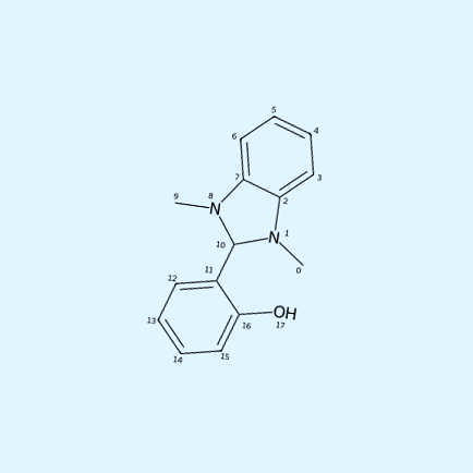 CN1c2ccccc2N(C)C1c1ccccc1O